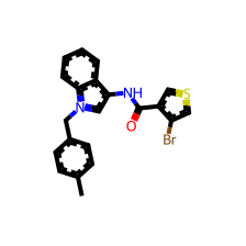 Cc1ccc(Cn2cc(NC(=O)c3cscc3Br)c3ccccc32)cc1